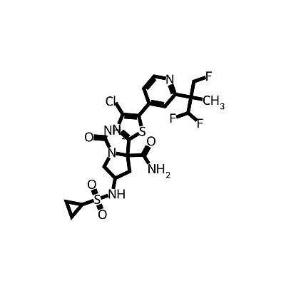 CC(CF)(c1cc(-c2sc(C3(C(N)=O)CC(NS(=O)(=O)C4CC4)CN3C(N)=O)nc2Cl)ccn1)C(F)F